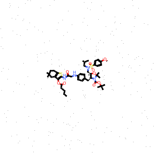 CCCCC(=O)Oc1c(NC(=O)CNc2ccc(C[C@H]3[C@@H](CN(CC(C)C)S(=O)(=O)c4ccc(OC)cc4)OC(C)(C)N3C(=O)OC(C)(C)C)cc2)sc2c1CC(C)(C)CC2